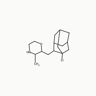 CC1NCCOC1CC1C2CC3CC(C2)CC1(Cl)C3